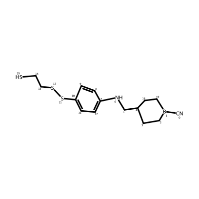 N#CB1CCC(CNc2ccc(SSCCS)cc2)CC1